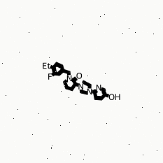 CCc1ccc(CN2CCCC(N3CCN(c4ccc(O)cn4)CC3)C2=O)cc1F